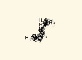 C[C@H]1CN(C(=O)OC(C)(C)C)CCCN1Cc1ccc2c(SCCNC(=O)OC(C)(C)C)nccc2c1